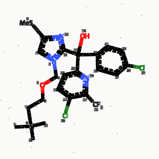 CSc1cn(COCC[Si](C)(C)C)c(C(O)(c2ccc(Cl)cc2)c2ccc(Cl)c(C(F)(F)F)n2)n1